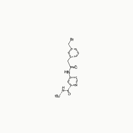 CC(C)(C)NC(=O)c1cc(NC(=O)Cc2cccc(CBr)c2)ccn1